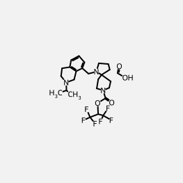 CC(C)N1CCc2cccc(CN3CCCC34CCN(C(=O)OC(C(F)(F)F)C(F)(F)F)CC4)c2C1.O=CO